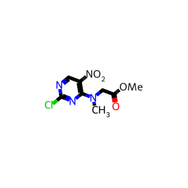 COC(=O)CN(C)c1nc(Cl)ncc1[N+](=O)[O-]